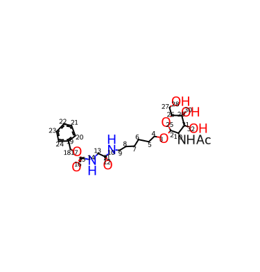 CC(=O)NC1C(OCCCCCCNC(=O)CNC(=O)OCc2ccccc2)OC(CO)C(O)C1O